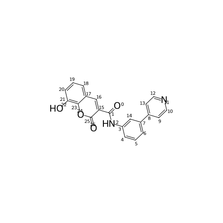 O=C(Nc1cccc(-c2ccncc2)c1)c1cc2cccc(O)c2oc1=O